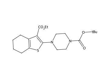 CCOC(=O)c1c(N2CCN(C(=O)OC(C)(C)C)CC2)sc2c1CCCC2